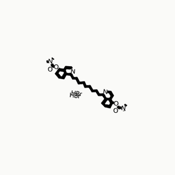 Br.Br.CN(C)C(=O)Oc1cccc2c(CCCCCCCCCc3nccc4c(OC(=O)N(C)C)cccc34)nccc12